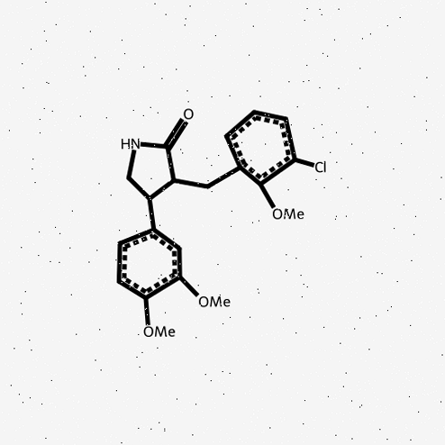 COc1ccc(C2CNC(=O)C2Cc2cccc(Cl)c2OC)cc1OC